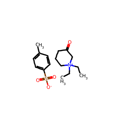 CC[N+]1(CC)CCCC(=O)C1.Cc1ccc(S(=O)(=O)[O-])cc1